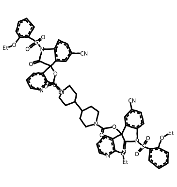 CCOc1ccccc1S(=O)(=O)N1C(=O)C(OC(=O)N2CCC(C3CCN(C(=O)OC4(c5cccnc5OCC)C(=O)N(S(=O)(=O)c5ccccc5OCC)c5ccc(C#N)cc54)CC3)CC2)(c2cccnc2OCC)c2cc(C#N)ccc21